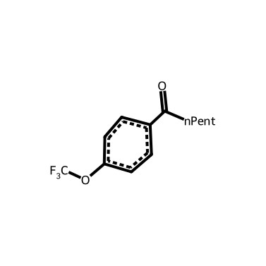 [CH2]CCCCC(=O)c1ccc(OC(F)(F)F)cc1